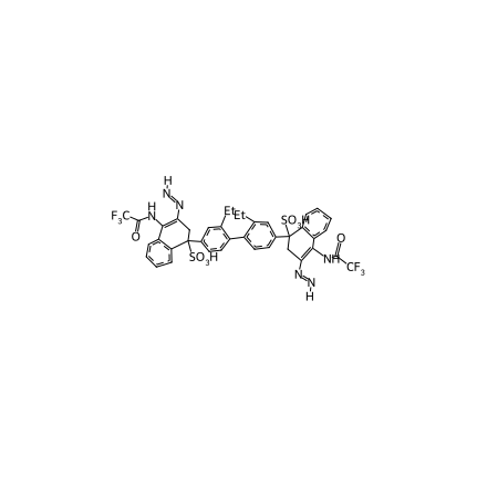 [H]/N=N/C1=C(NC(=O)C(F)(F)F)c2ccccc2C(c2ccc(-c3ccc(C4(S(=O)(=O)O)CC(/N=N/[H])=C(NC(=O)C(F)(F)F)c5ccccc54)cc3CC)c(CC)c2)(S(=O)(=O)O)C1